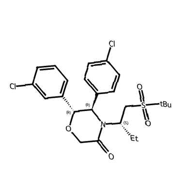 CC[C@@H](CS(=O)(=O)C(C)(C)C)N1C(=O)CO[C@H](c2cccc(Cl)c2)[C@H]1c1ccc(Cl)cc1